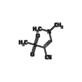 CN(C)C=C(C#N)S(C)(=O)=O